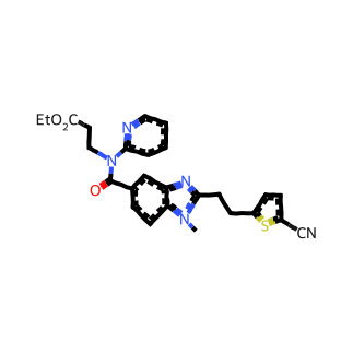 CCOC(=O)CCN(C(=O)c1ccc2c(c1)nc(CCc1ccc(C#N)s1)n2C)c1ccccn1